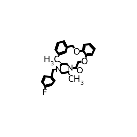 C[C@@H]1CN(C(=O)COc2ccccc2OCc2ccccc2)[C@@H](C)CN1Cc1ccc(F)cc1